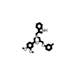 COc1ccc(CCN(Cc2c[nH]c3ccccc23)CC(O)COc2cccc(C)c2)cc1OC